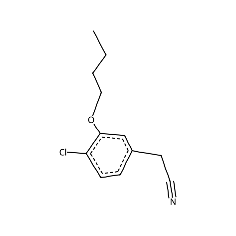 CCCCOc1cc(CC#N)ccc1Cl